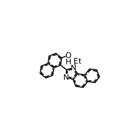 CCn1c(-c2c(O)ccc3ccccc23)nc2ccc3ccccc3c21